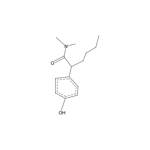 CCCCC(C(=O)N(C)C)c1ccc(O)cc1